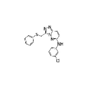 Clc1cccc(Nc2ccc3nnc(CSc4ccccc4)n3n2)c1